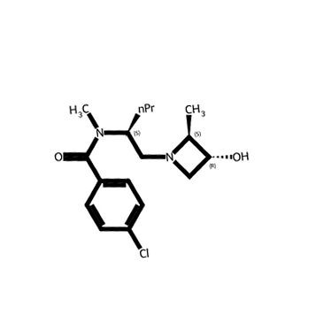 CCC[C@@H](CN1C[C@@H](O)[C@@H]1C)N(C)C(=O)c1ccc(Cl)cc1